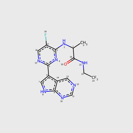 CC(Nc1nc(-c2c[nH]c3ncncc23)ncc1F)C(=O)NCC(F)(F)F